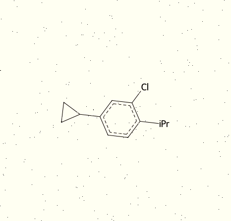 CC(C)c1ccc(C2CC2)cc1Cl